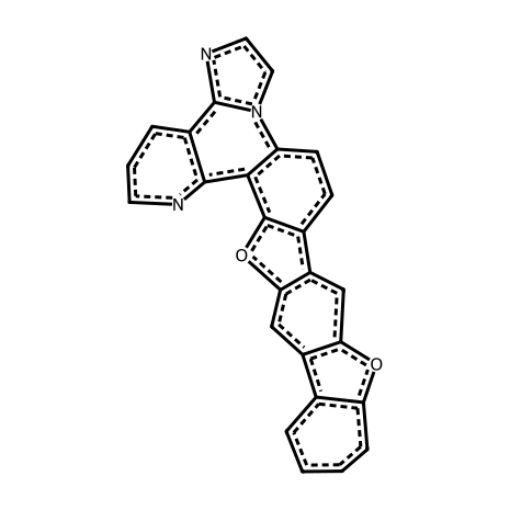 c1ccc2c(c1)oc1cc3c(cc12)oc1c3ccc2c1c1ncccc1c1nccn21